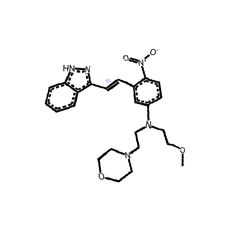 COCCN(CCN1CCOCC1)c1ccc([N+](=O)[O-])c(/C=C/c2n[nH]c3ccccc23)c1